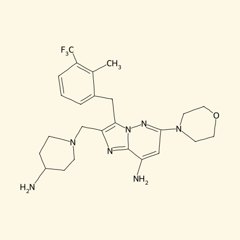 Cc1c(Cc2c(CN3CCC(N)CC3)nc3c(N)cc(N4CCOCC4)nn23)cccc1C(F)(F)F